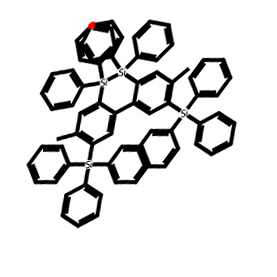 Cc1cc2c(cc1[Si](c1ccccc1)(c1ccccc1)c1ccccc1)-c1cc([Si](c3ccccc3)(c3ccccc3)c3ccccc3)c(C)cc1[Si](c1ccccc1)(c1ccccc1)[Si]2(c1ccccc1)c1ccccc1